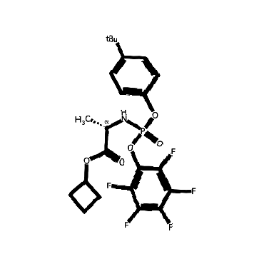 C[C@H](NP(=O)(Oc1ccc(C(C)(C)C)cc1)Oc1c(F)c(F)c(F)c(F)c1F)C(=O)OC1CCC1